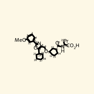 COc1cccc(-c2nc(CO[C@H]3CCC[C@@H](C(=O)NC(C(=O)O)C(C)C)C3)c(C3CCCCC3)o2)c1